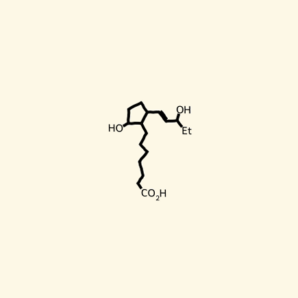 CCC(O)C=CC1CCC(O)C1CCCCCCC(=O)O